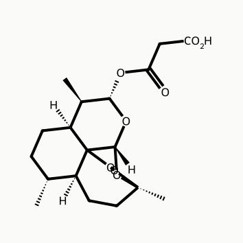 C[C@H]1[C@H](OC(=O)CC(=O)O)O[C@@H]2O[C@]3(C)CC[C@H]4[C@H](C)CC[C@@H]1C24OO3